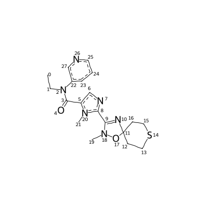 CCN(C(=O)c1cnc(C2=NC3(CCSCC3)ON2C)n1C)c1cccnc1